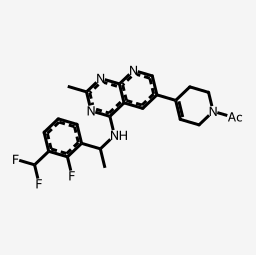 CC(=O)N1CC=C(c2cnc3nc(C)nc(NC(C)c4cccc(C(F)F)c4F)c3c2)CC1